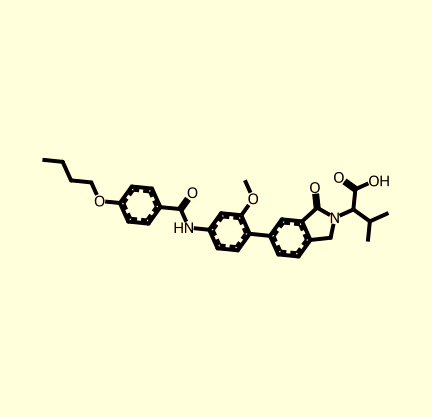 CCCCOc1ccc(C(=O)Nc2ccc(-c3ccc4c(c3)C(=O)N(C(C(=O)O)C(C)C)C4)c(OC)c2)cc1